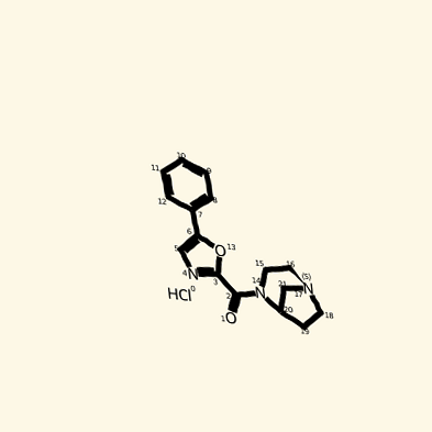 Cl.O=C(c1ncc(-c2ccccc2)o1)N1CC[N@@]2CCC1C2